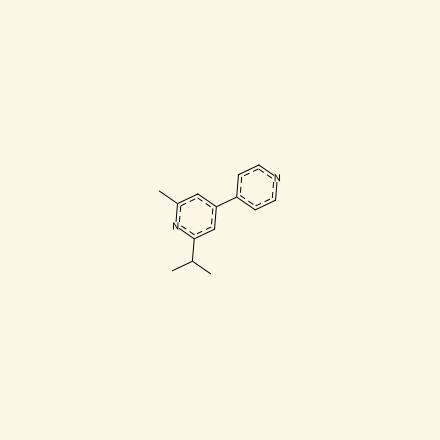 Cc1cc(-c2ccncc2)cc(C(C)C)n1